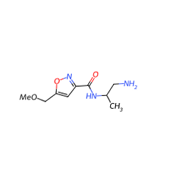 COCc1cc(C(=O)NC(C)CN)no1